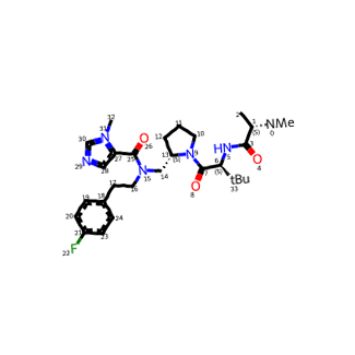 CN[C@@H](C)C(=O)N[C@H](C(=O)N1CCC[C@H]1CN(CCc1ccc(F)cc1)C(=O)c1cncn1C)C(C)(C)C